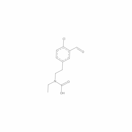 CCN(CCc1ccc(Cl)c(C=O)c1)C(=O)O